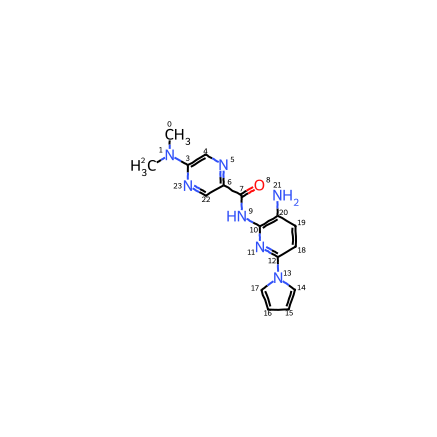 CN(C)c1cnc(C(=O)Nc2nc(-n3cccc3)ccc2N)cn1